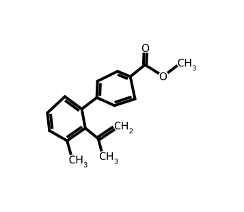 C=C(C)c1c(C)cccc1-c1ccc(C(=O)OC)cc1